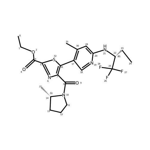 CCOC(=O)c1nc(C(=O)N2CCC[C@@H]2C)c(-c2cnc(N[C@H](CC)C(F)(F)F)cc2C)s1